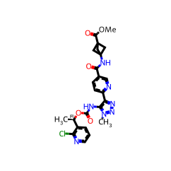 COC(=O)C12CC(NC(=O)c3ccc(-c4nnn(C)c4NC(=O)O[C@H](C)c4cccnc4Cl)nc3)(C1)C2